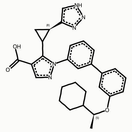 C[C@H](Oc1cccc(-c2cccc(-n3ncc(C(=O)O)c3C3C[C@H]3c3c[nH]nn3)c2)c1)C1CCCCC1